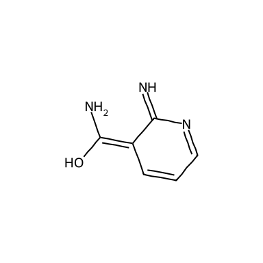 N=C1N=CC=C/C1=C(/N)O